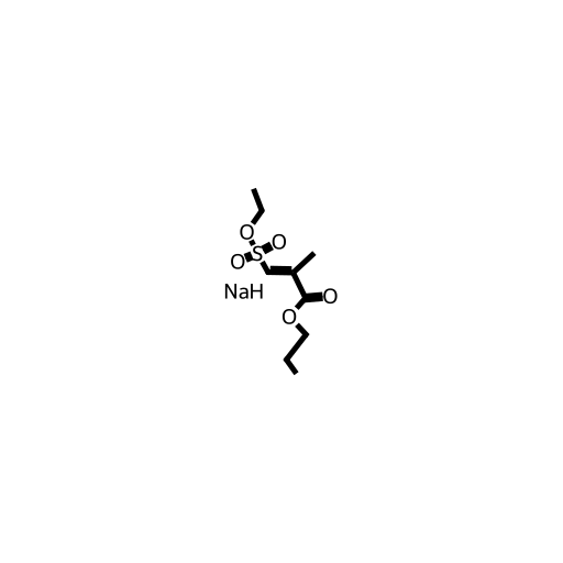 CCCOC(=O)C(C)=CS(=O)(=O)OCC.[NaH]